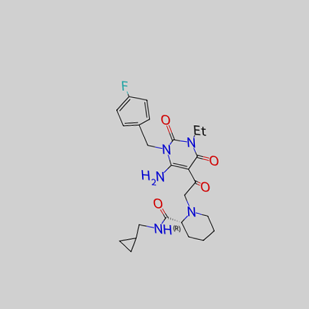 CCn1c(=O)c(C(=O)CN2CCCC[C@@H]2C(=O)NCC2CC2)c(N)n(Cc2ccc(F)cc2)c1=O